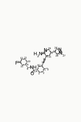 Cc1ccc(C(=O)NCc2cccc(F)c2)cc1C#Cc1cc(-c2cnn(C)c2)cnc1N